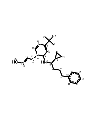 CC(C)(F)C1=NC(NC(CCCc2ccccc2)C2CC2)N(NC=NO)C=N1